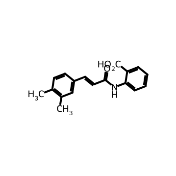 Cc1ccc(C=CC(=O)Nc2ccccc2C(=O)O)cc1C